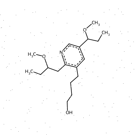 CCC(Cc1ncc(C(CC)OC)cc1CCCCO)OC